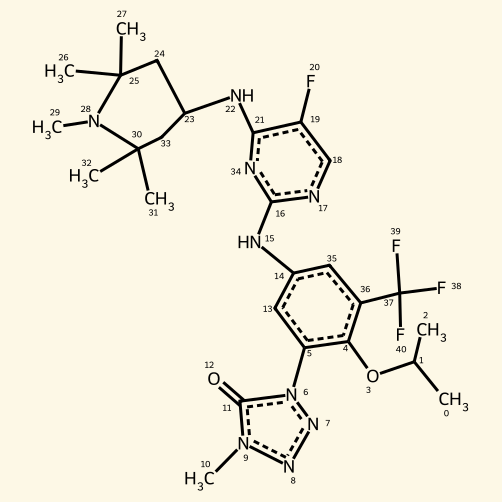 CC(C)Oc1c(-n2nnn(C)c2=O)cc(Nc2ncc(F)c(NC3CC(C)(C)N(C)C(C)(C)C3)n2)cc1C(F)(F)F